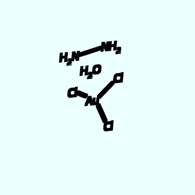 NN.O.[Cl][Au]([Cl])[Cl]